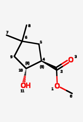 COC(=O)[C@@H]1CC(C)(C)C[C@H]1O